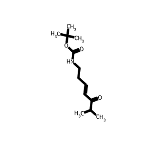 CC(C)C(=O)/C=C/CCNC(=O)OC(C)(C)C